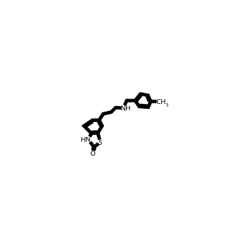 Cc1ccc(CNCCCc2ccc3[nH]c(=O)sc3c2)cc1